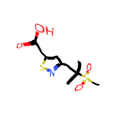 CC(C)(c1cc(C(=O)O)sn1)S(C)(=O)=O